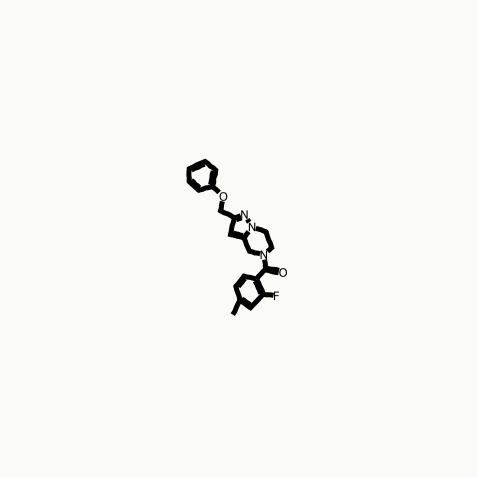 Cc1ccc(C(=O)N2CCn3nc(COc4ccccc4)cc3C2)c(F)c1